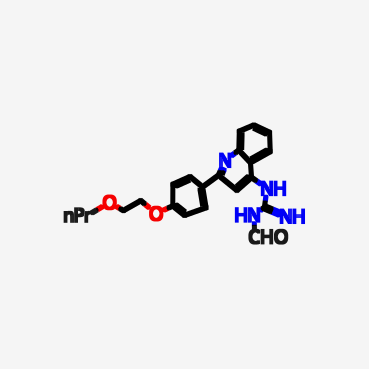 CCCOCCOc1ccc(-c2cc(NC(=N)NC=O)c3ccccc3n2)cc1